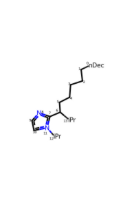 CCCCCCCCCCCCCCCC(c1nccn1C(C)C)C(C)C